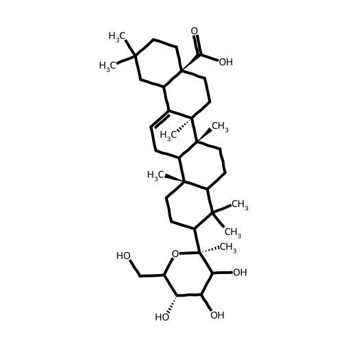 CC1(C)CC[C@]2(C(=O)O)CC[C@]3(C)C(=CCC4[C@@]5(C)CCC([C@]6(C)OC(CO)[C@@H](O)C(O)C6O)C(C)(C)C5CC[C@]43C)C2C1